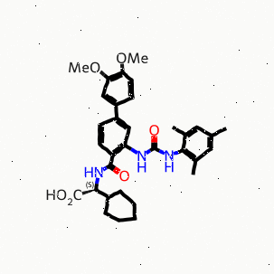 COc1ccc(-c2ccc(C(=O)N[C@H](C(=O)O)C3CCCCC3)c(NC(=O)Nc3c(C)cc(C)cc3C)c2)cc1OC